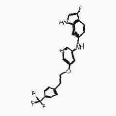 Fc1c[nH]c2cc(Nc3cncc(OCCc4ccc(C(F)(F)F)cc4)c3)ccc12